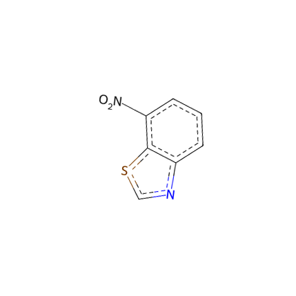 O=[N+]([O-])c1cccc2ncsc12